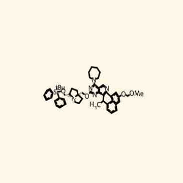 COCOc1cc2c3c(cccc3c1)C(C)c1c-2ncc2c(N3CCCCCC3)nc(OC[C@]34CCCN3[C@H](CO[Si](c3ccccc3)(c3ccccc3)C(C)(C)C)CC4)nc12